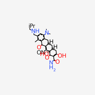 Cc1c(CNCC(C)C)cc(N(C)C)c2c1C(=O)C1=C(N=O)[C@]3(O)C(=O)C(C(N)=O)=C(O)C[C@@H]3C[C@@H]1C2